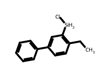 CCc1ccc(-c2ccccc2)cc1[SiH2]Cl